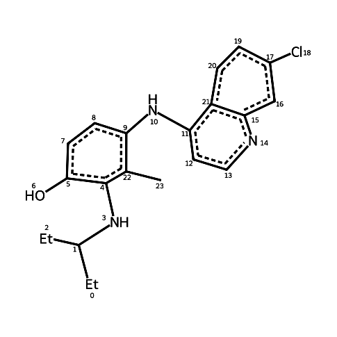 CCC(CC)Nc1c(O)ccc(Nc2ccnc3cc(Cl)ccc23)c1C